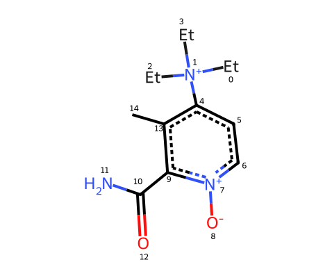 CC[N+](CC)(CC)c1cc[n+]([O-])c(C(N)=O)c1C